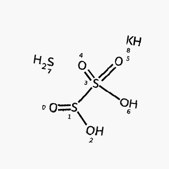 O=S(O)S(=O)(=O)O.S.[KH]